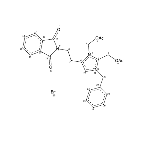 CC(=O)OCc1n(COC(C)=O)c(CCN2C(=O)c3ccccc3C2=O)c[n+]1Cc1ccccc1.[Br-]